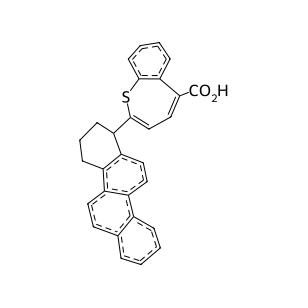 O=C(O)C1=CC=C(C2CCCc3c2ccc2c3ccc3ccccc32)Sc2ccccc21